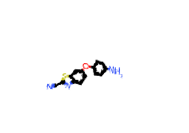 N#Cc1nc2ccc(Oc3ccc(N)cc3)cc2s1